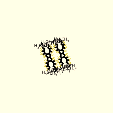 C[Si](C)(C)c1cc2c(s1)sc1sc3c4c5sc6sc7sc([Si](C)(C)C)cc7c6c5c5c(sc6sc7sc([Si](C)(C)C)cc7c65)c4c4sc5sc6sc([Si](C)(C)C)cc6c5c4c3c12.C[Si](C)(C)c1cc2c(s1)sc1sc3c4c5sc6sc7sc([Si](C)(C)C)cc7c6c5c5c(sc6sc7sc([Si](C)(C)C)cc7c65)c4c4sc5sc6sc([Si](C)(C)C)cc6c5c4c3c12